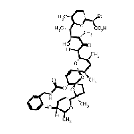 CC[C@@H](C(=O)[C@@H](C)[C@@H](O)[C@H](C)[C@@H]1O[C@@H]([C@@H](CC)C(=O)O)CC[C@@H]1C)[C@H]1O[C@]2(C=C[C@@H](OC(=O)NCc3ccccc3)[C@]3(CC[C@@](C)([C@H]4CC[C@](O)(CC)[C@H](C)O4)O3)O2)[C@H](C)C[C@@H]1C